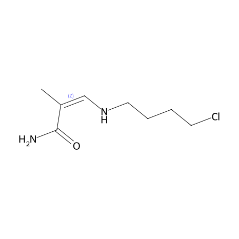 C/C(=C/NCCCCCl)C(N)=O